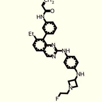 C=CC(=O)Nc1cccc(-c2c(CC)ccc3cnc(Nc4ccc(NC5CN(CCF)C5)cc4)nc23)c1